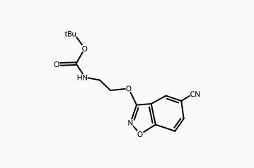 CC(C)(C)OC(=O)NCCOc1noc2ccc(C#N)cc12